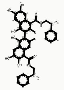 Cc1cc2c(C(=O)NC[C@H](C)c3ccccc3)c(O)c(O)cc2c(O)c1-c1c(C)c(C(=O)NC[C@H](C)c2ccccc2)c2cc(O)c(O)cc2c1O